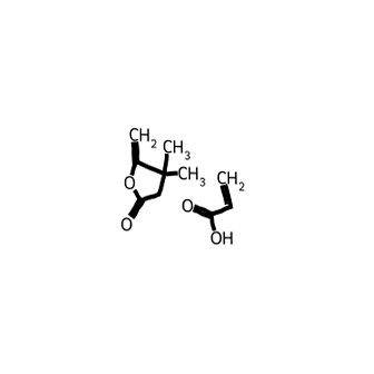 C=C1OC(=O)CC1(C)C.C=CC(=O)O